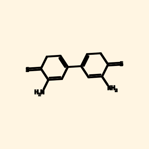 NC1=CC(C2=CCC(=S)C(N)=C2)=CCC1=S